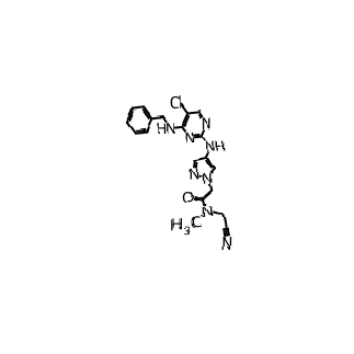 CN(CC#N)C(=O)Cn1cc(Nc2ncc(Cl)c(NCc3ccccc3)n2)cn1